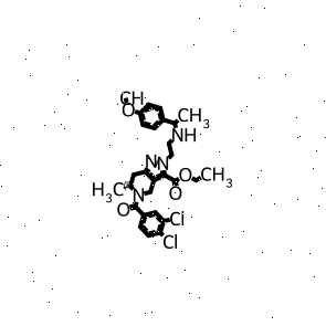 CCOC(=O)c1c2c(nn1CCNC(C)c1ccc(OC)cc1)C[C@@H](C)N(C(=O)c1ccc(Cl)c(Cl)c1)C2